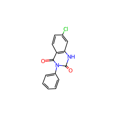 O=c1[nH]c2cc(Cl)ccc2c(=O)n1-c1ccccc1